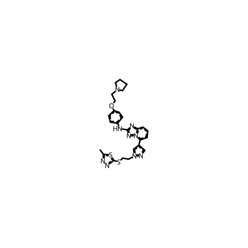 Cc1nnc(SCCn2cc(-c3cccc4nc(Nc5ccc(OCCN6CCCC6)cc5)nn34)cn2)s1